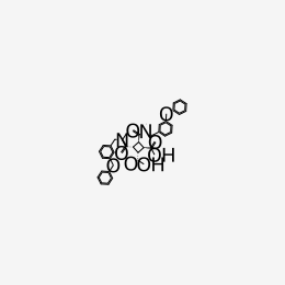 CN(Cc1cccc(Oc2ccccc2)c1)C(=O)[C@H]1[C@@H](C(=O)O)[C@H](C(=O)O)[C@@H]1C(=O)N(C)Cc1cccc(Oc2ccccc2)c1